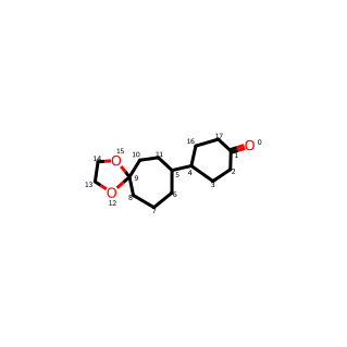 O=C1CCC(C2CCCC3(CC2)OCCO3)CC1